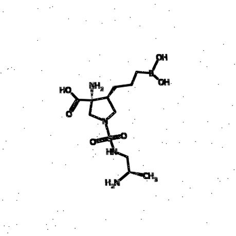 C[C@@H](N)CNS(=O)(=O)N1C[C@H](CCCB(O)O)[C@](N)(C(=O)O)C1